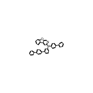 c1ccc(-c2ccc(-c3cccc(N(c4ccc(-c5ccccc5)cc4)c4cc5c(cn4)oc4ccccc45)c3)cc2)cc1